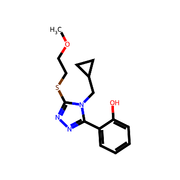 COCCSc1nnc(-c2ccccc2O)n1CC1CC1